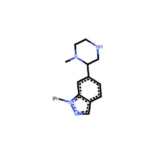 CC(C)n1ncc2ccc(C3CNCCN3C)cc21